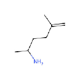 C=C(C)CCC(C)N